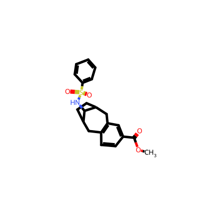 COC(=O)c1ccc2c(c1)CC1CCC(C2)C1NS(=O)(=O)c1ccccc1